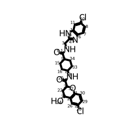 O=C(NCc1nc2ccc(Cl)cc2[nH]1)C1CCC(NC(=O)C2CC(O)c3cc(Cl)ccc3O2)CC1